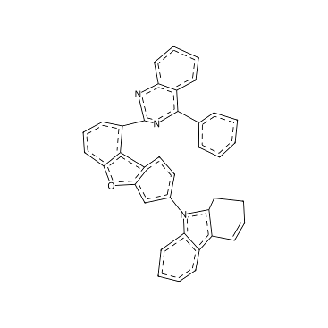 C1=Cc2c(n(-c3ccc4c(c3)oc3cccc(-c5nc(-c6ccccc6)c6ccccc6n5)c34)c3ccccc23)CC1